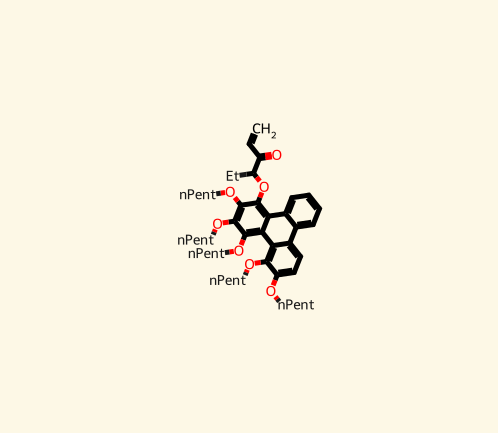 C=CC(=O)C(CC)Oc1c(OCCCCC)c(OCCCCC)c(OCCCCC)c2c3c(OCCCCC)c(OCCCCC)ccc3c3ccccc3c12